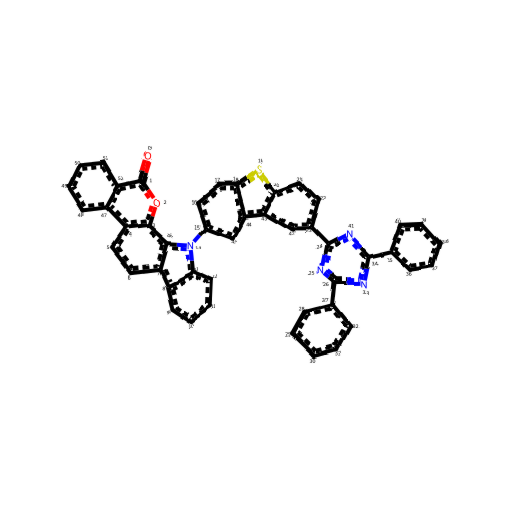 O=c1oc2c(ccc3c4ccccc4n(-c4ccc5sc6ccc(-c7nc(-c8ccccc8)nc(-c8ccccc8)n7)cc6c5c4)c32)c2ccccc12